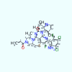 C=CC(=O)N1CC(C)N2c3nc(=O)n(-c4c(C)ccnc4C(C)C)c4nc(-c5c(N)c(Cl)cc(Cl)c5F)c(F)c(c34)SCC2C1